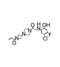 C=CC(=O)N1CC(N2CCN(C(=O)CNc3cc(Cl)c(F)cc3O)CC2)C1